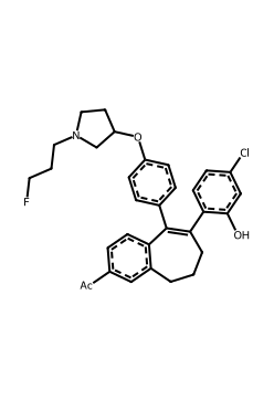 CC(=O)c1ccc2c(c1)CCCC(c1ccc(Cl)cc1O)=C2c1ccc(OC2CCN(CCCF)C2)cc1